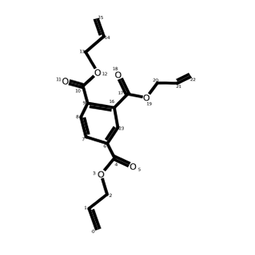 C=CCOC(=O)c1ccc(C(=O)OCC=C)c(C(=O)OCC=C)c1